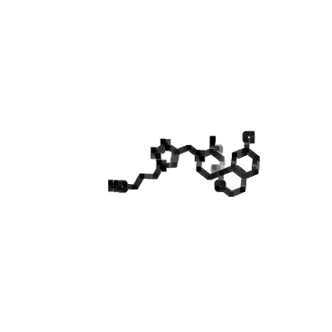 C[C@H]1C[C@@]2(CCN1Cc1cn(CCCO)nn1)OCCc1ccc(Cl)cc12